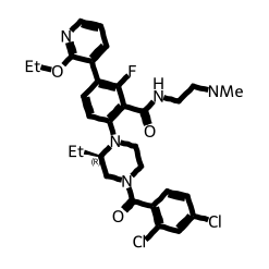 CCOc1ncccc1-c1ccc(N2CCN(C(=O)c3ccc(Cl)cc3Cl)C[C@H]2CC)c(C(=O)NCCNC)c1F